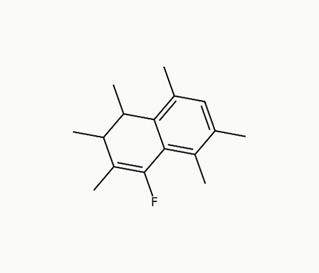 CC1=C(F)c2c(C)c(C)cc(C)c2C(C)C1C